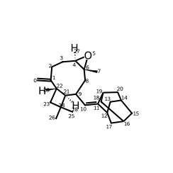 C=C1CC[C@H]2O[C@]2(C)CC(C=C2C3CC4CC(C3)CC2C4)[C@@H]2[C@@H]1CC2(C)C